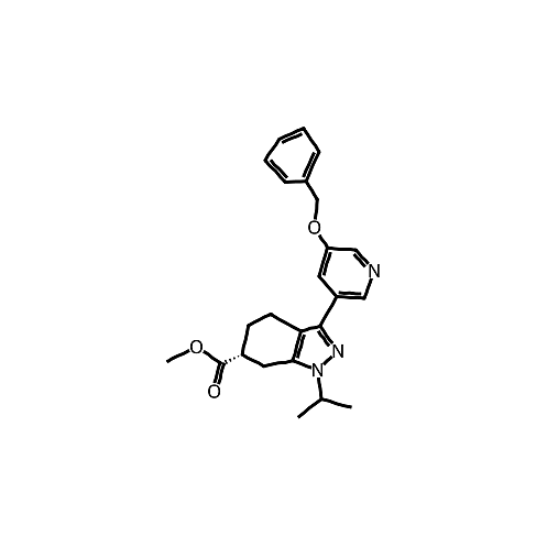 COC(=O)[C@@H]1CCc2c(-c3cncc(OCc4ccccc4)c3)nn(C(C)C)c2C1